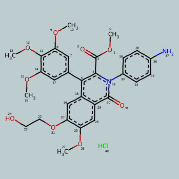 COC(=O)c1c(-c2cc(OC)c(OC)c(OC)c2)c2cc(OCCO)c(OC)cc2c(=O)n1-c1ccc(N)cc1.Cl